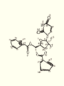 O=C(OC[C@H]1OC(n2ccc(=O)[nH]c2=O)[C@@](F)(Cl)[C@@H]1OC(=O)c1ccccc1)c1ccccc1